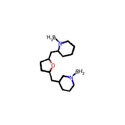 BN1CCCC(CC2CCC(CC3CCCCN3B)O2)C1